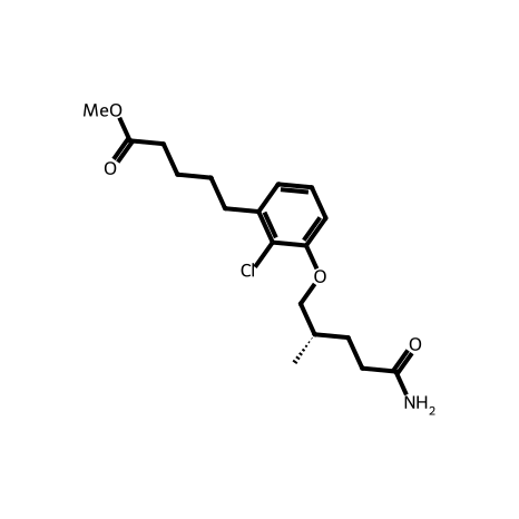 COC(=O)CCCCc1cccc(OC[C@@H](C)CCC(N)=O)c1Cl